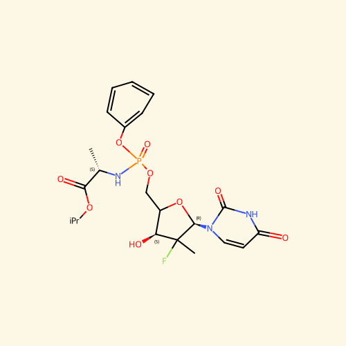 CC(C)OC(=O)[C@H](C)NP(=O)(OCC1O[C@@H](n2ccc(=O)[nH]c2=O)C(C)(F)[C@H]1O)Oc1ccccc1